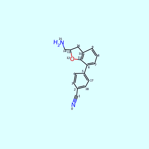 N#Cc1ccc(-c2cccc3c2OC(CN)C3)cc1